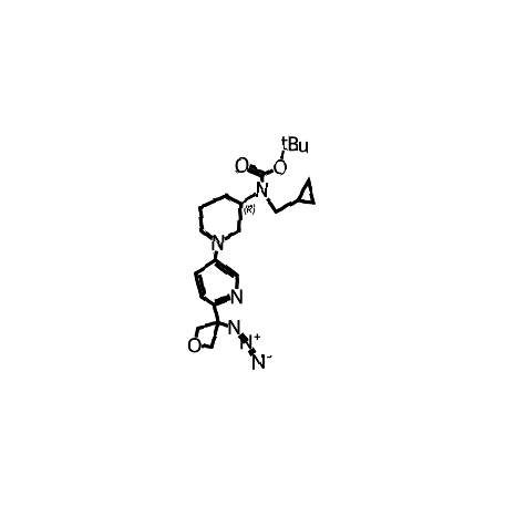 CC(C)(C)OC(=O)N(CC1CC1)[C@@H]1CCCN(c2ccc(C3(N=[N+]=[N-])COC3)nc2)C1